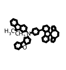 CC1(C)c2ccccc2-c2ccc(N(c3ccc(-c4cccc5c4-c4ccccc4C54c5ccccc5C=Cc5ccccc54)cc3)c3ccc4oc5ccccc5c4c3)cc21